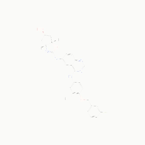 Cc1cc(Nc2ncnc3ccc(NC4=N[C@@H]5C[C@@H](O)C[C@@H]5O4)cc23)ccc1OCc1cccc(F)c1